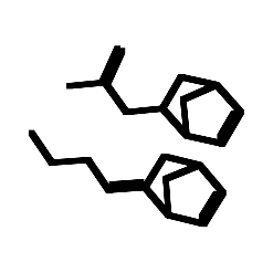 C=C(C)CC1CC2C=CC1C2.CCCC=C1CC2C=CC1C2